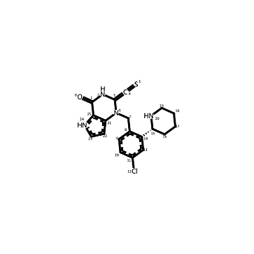 O=C1NC(=C=S)N(Cc2ccc(Cl)cc2[C@H]2CCCCN2)c2cc[nH]c21